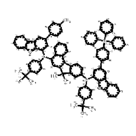 Cc1ccc(-c2cc(N(c3ccc(C(C)(C)C)cc3)c3cc4c(c5ccccc35)-c3ccc(N(c5ccc(C(C)(C)C)cc5)c5cc(-c6ccc([Si](c7ccccc7)(c7ccccc7)c7ccccc7)cc6)cc6c5oc5ccccc56)cc3C4(C)C)c3oc4ccccc4c3c2)cc1